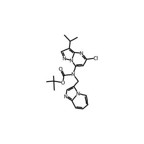 CC(C)c1cnn2c(N(Cc3cnc4ccccn34)C(=O)OC(C)(C)C)cc(Cl)nc12